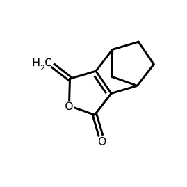 C=C1OC(=O)C2=C1C1CCC2C1